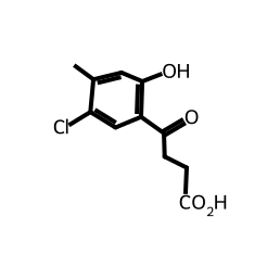 Cc1cc(O)c(C(=O)CCC(=O)O)cc1Cl